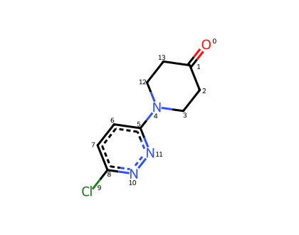 O=C1CCN(c2ccc(Cl)nn2)CC1